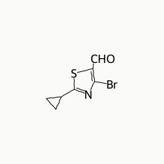 O=Cc1sc(C2CC2)nc1Br